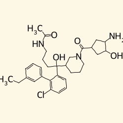 CCc1cccc(-c2c(Cl)cccc2C(O)(CCCNC(C)=O)C2CCCN(C(=O)C3CC(N)C(O)C3)C2)c1